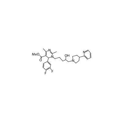 COC(=O)C1=C(C)N=C(C)N(CCCC(O)CN2CCC(c3ccccn3)CC2)C1c1ccc(F)c(F)c1